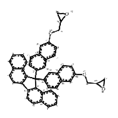 c1ccc2c3c(ccc2c1)-c1ccc2ccccc2c1C3(c1ccc2cc(OCC3CO3)ccc2c1)c1ccc2cc(OCC3CO3)ccc2c1